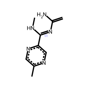 C=C(N)/N=C(\NC)c1cnc(C)cn1